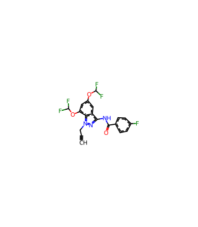 C#CCn1nc(NC(=O)c2ccc(F)cc2)c2cc(OC(F)F)cc(OC(F)F)c21